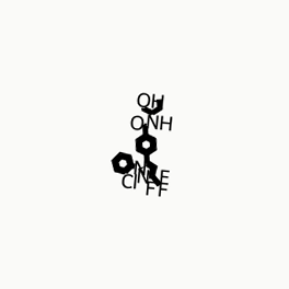 CCC(CO)NC(=O)c1ccc(-c2cc(C(F)(F)F)nn2-c2ccccc2Cl)cc1